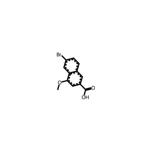 COc1cc(C(=O)O)cc2ccc(Br)cc12